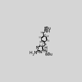 CCCCNc1nc(N)ncc1Cc1ccc(CNC(C)(C)C)cc1